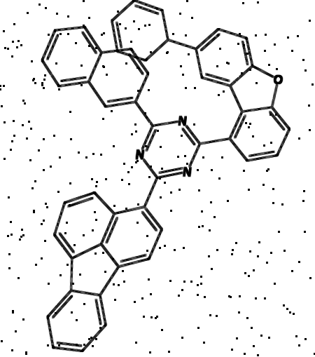 C1=CCC(c2ccc3oc4cccc(-c5nc(-c6ccc7ccccc7c6)nc(-c6ccc7c8c(cccc68)-c6ccccc6-7)n5)c4c3c2)C=C1